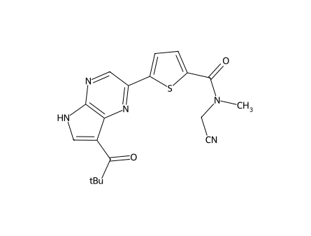 CN(CC#N)C(=O)c1ccc(-c2cnc3[nH]cc(C(=O)C(C)(C)C)c3n2)s1